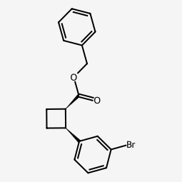 O=C(OCc1ccccc1)[C@@H]1CC[C@@H]1c1cccc(Br)c1